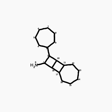 NC1C(C2CCCCCC2)C2C3CCCCCC3C12